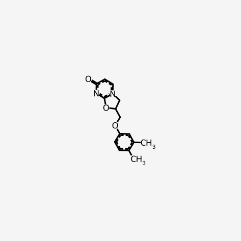 Cc1ccc(OCC2Cn3ccc(=O)nc3O2)cc1C